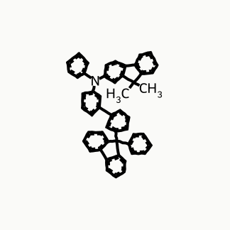 CC1(C)c2ccccc2-c2ccc(N(c3ccccc3)c3cccc(-c4cccc(C5(c6ccccc6)c6ccccc6-c6ccccc65)c4)c3)cc21